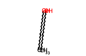 CCCCCCCCC=CCCCCCCCCCCCCO.CCCCCCCCC=CCCCCCCCCCCCCO